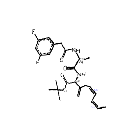 C=C(/C=C\C=C/C)[C@H](NC(=O)[C@H](C)NC(=O)Cc1cc(F)cc(F)c1)C(=O)OC(C)(C)C